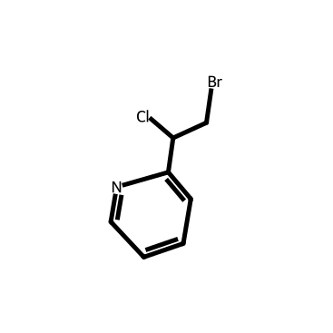 ClC(CBr)c1ccccn1